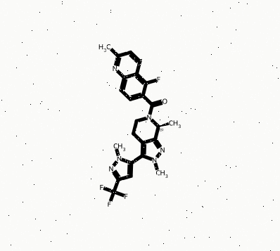 Cc1ccc2c(F)c(C(=O)N3CCc4c(nn(C)c4-c4cc(C(F)(F)F)nn4C)[C@@H]3C)ccc2n1